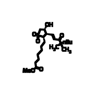 CCCCC(C)(C)C(=O)C=C[C@@H]1[C@@H](O)CS(=O)(=O)[C@H]1CCCCCCC(=O)OC